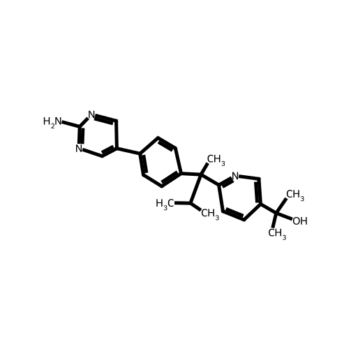 CC(C)C(C)(c1ccc(-c2cnc(N)nc2)cc1)c1ccc(C(C)(C)O)cn1